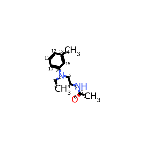 CCN(CCNC(C)=O)c1cccc(C)c1